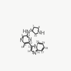 Cc1ncc(N[C@@H]2CCNC2)nc1-c1cnc2ccccn12